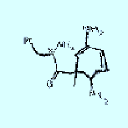 CC(C)C[C@H](N)C(=O)C1(C)C=C(N)C=CC1N